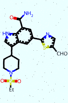 CCS(=O)(=O)N1CCC(c2c[nH]c3c(C(N)=O)cc(-c4ncc(C=O)s4)cc23)CC1